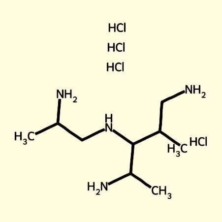 CC(N)CNC(C(C)N)C(C)CN.Cl.Cl.Cl.Cl